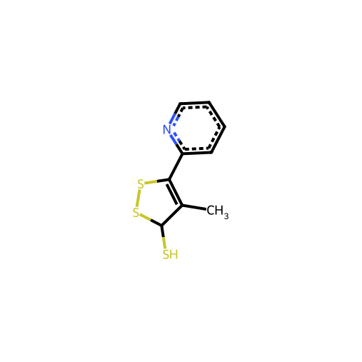 CC1=C(c2ccccn2)SSC1S